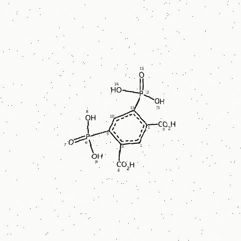 O=C(O)c1cc(C(=O)O)c(P(=O)(O)O)cc1P(=O)(O)O